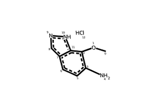 COc1c(N)ccc2cn[nH]c12.Cl